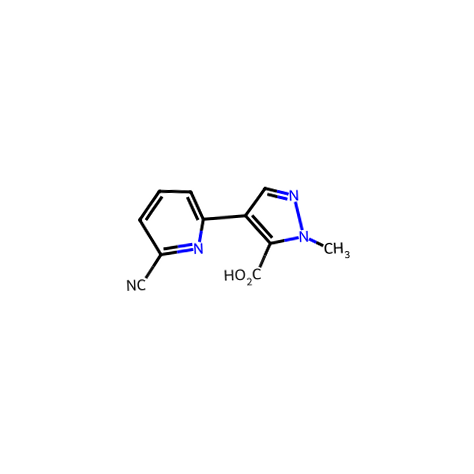 Cn1ncc(-c2cccc(C#N)n2)c1C(=O)O